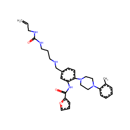 C=CCNC(=O)NCCCNCc1ccc(N2CCN(c3ccccc3C)CC2)c(NC(=O)c2ccco2)c1